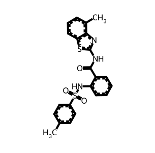 Cc1ccc(S(=O)(=O)Nc2ccccc2C(=O)Nc2nc3c(C)cccc3s2)cc1